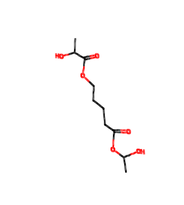 CC(O)OC(=O)CCCCOC(=O)C(C)O